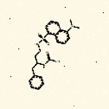 CN(C)c1cccc2c(S(=O)(=O)NCCC(Cc3ccccc3)NC(=O)O)cccc12